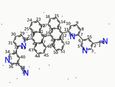 N#Cc1cncc(-c2cccc(-c3c4ccccc4c(-c4c5ccccc5c(-c5cccc(-c6cncc(C#N)c6)n5)c5ccccc45)c4ccccc34)n2)c1